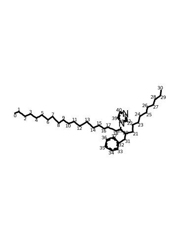 CCCCCCCCCCCCCCCCCCCC(C(CCCCCCCCCC)Cc1ccccc1)n1ccnc1